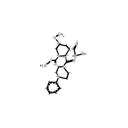 COC(=O)N1C[C@@H](OC)C[C@H](C(=O)NO)[C@H]1C(=O)N1CCN(c2ccccc2)CC1